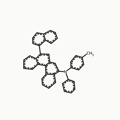 Cc1ccc(N(c2ccccc2)c2cc3cc(-c4cccc5ccccc45)c4ccccc4c3c3ccccc23)cc1